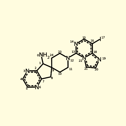 NC1c2nccnc2CC12CCN(c1ncc(I)c3nccn13)CC2